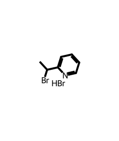 Br.CC(Br)c1ccccn1